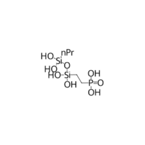 CCC[Si](O)(O)O[Si](O)(O)CCP(=O)(O)O